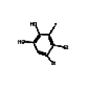 CCc1cc(O)c(O)c(F)c1CC